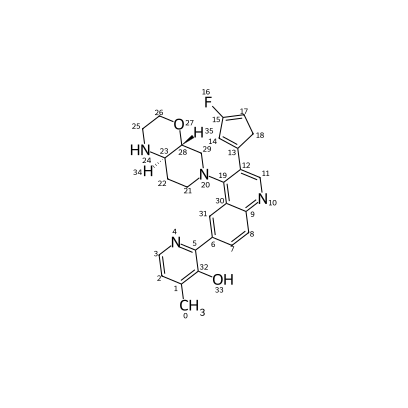 Cc1ccnc(-c2ccc3ncc(C4=CC(F)=CC4)c(N4CC[C@H]5NCCO[C@@H]5C4)c3c2)c1O